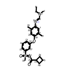 CCN(C)/C=N/c1cc(C)c(Oc2cccc(S(C)(=O)=NC(=O)C3CCC3)c2)cc1C